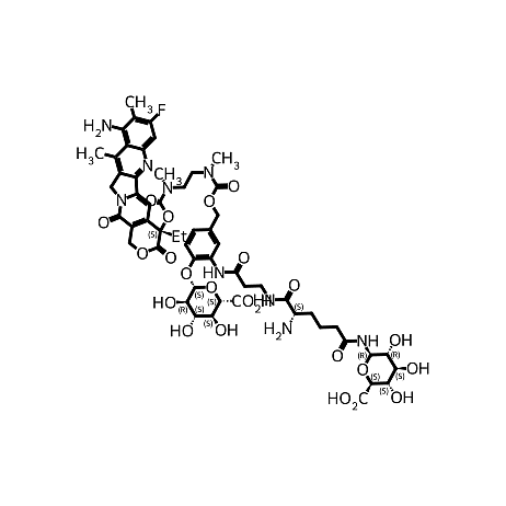 CC[C@@]1(OC(=O)N(C)CCN(C)C(=O)OCc2ccc(O[C@@H]3O[C@H](C(=O)O)[C@@H](O)[C@H](O)[C@H]3O)c(NC(=O)CCNC(=O)[C@@H](N)CCCC(=O)N[C@@H]3O[C@H](C(=O)O)[C@@H](O)[C@H](O)[C@H]3O)c2)C(=O)OCc2c1cc1n(c2=O)Cc2c-1nc1cc(F)c(C)c(N)c1c2C